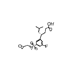 CC(C)C[C@H](CCC(=O)O)c1cc(F)cc(S(=O)(=O)N(C)CC2CO2)c1